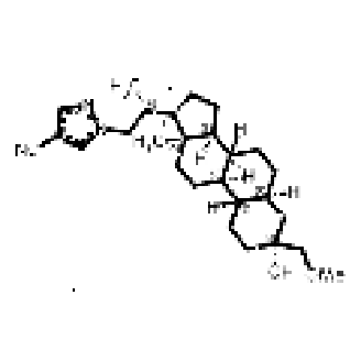 COC[C@@]1(O)CC[C@H]2[C@H](CC[C@@H]3[C@@H]2CC[C@]2(C)[C@@H]([C@@H](C)Cn4cc(C#N)cn4)CC[C@@H]32)C1